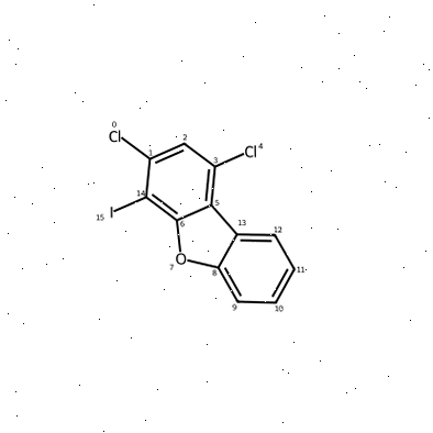 Clc1cc(Cl)c2c(oc3ccccc32)c1I